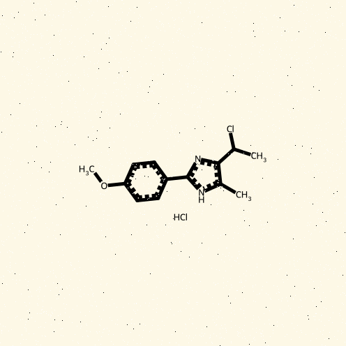 COc1ccc(-c2nc(C(C)Cl)c(C)[nH]2)cc1.Cl